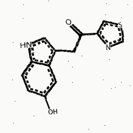 O=C(Cc1c[nH]c2ccc(O)cc12)c1cscn1